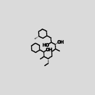 CC[C@@H](CCC(C)[C@@H](O)C(O)CC1CCC[C@@H](C)C1)C(C)C(O)C1CCCCC1